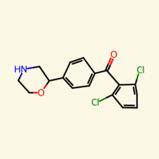 O=C(c1ccc(C2CNCCO2)cc1)c1c(Cl)cccc1Cl